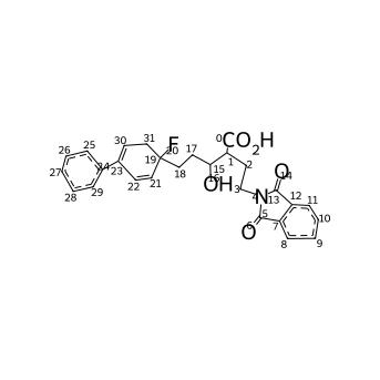 O=C(O)C(CCN1C(=O)c2ccccc2C1=O)C(O)CCC1(F)C=CC(c2ccccc2)=CC1